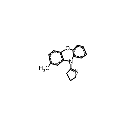 Cc1ccc2c(c1)N(C1=NCCC1)c1ccccc1O2